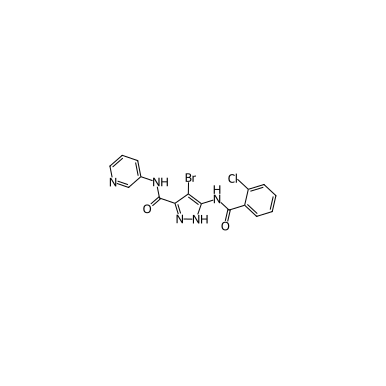 O=C(Nc1[nH]nc(C(=O)Nc2cccnc2)c1Br)c1ccccc1Cl